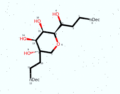 CCCCCCCCCCCCC(O)[C@H]1O[CH][C@@](O)(CCCCCCCCCCCC)[C@@H](O)[C@H]1O